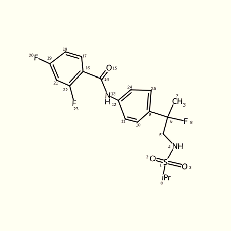 CC(C)S(=O)(=O)NCC(C)(F)c1ccc(NC(=O)c2ccc(F)cc2F)cc1